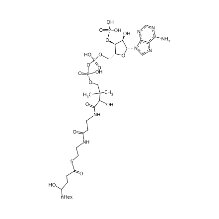 CCCCCCC(O)CCC(=O)SCCNC(=O)CCNC(=O)C(O)C(C)(C)COP(=O)(O)OP(=O)(O)OC[C@H]1O[C@@H](n2cnc3c(N)ncnc32)[C@H](O)[C@@H]1OP(=O)(O)O